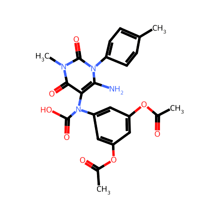 CC(=O)Oc1cc(OC(C)=O)cc(N(C(=O)O)c2c(N)n(-c3ccc(C)cc3)c(=O)n(C)c2=O)c1